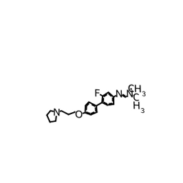 CN(C)C=Nc1ccc(-c2ccc(OCCCN3CCCC3)cc2)c(F)c1